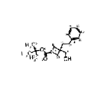 CC(C)(C)OC(=O)N1CC(CO)(CCc2ccccc2)C1